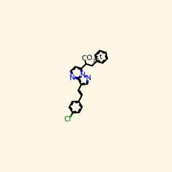 CCOC(=O)C(Cc1ccccc1)c1ccnc2c(C=Cc3ccc(Cl)cc3)cnn12